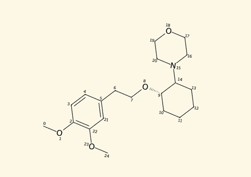 COc1ccc(CCO[C@H]2CCCCC2N2CCOCC2)cc1OC